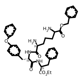 CCOC(=O)[C@H](Cc1ccccc1)NC(=O)[C@H](Cc1ccc(Oc2ccccc2)cc1)NC(=O)[C@@H](N)CCCC(N)C(=O)OCc1ccccc1